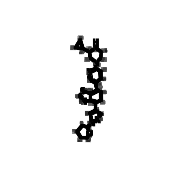 c1nc2c(-c3cnn(C4CCCCO4)c3)ccc(-c3ccc(N4CCNC(C5CC5)C4)nn3)c2s1